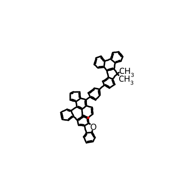 CC1(C)c2ccc(-c3ccc(-c4c5ccccc5c(-c5ccccc5-c5ccc6oc7ccccc7c6c5)c5ccccc45)cc3)cc2-c2c1c1ccccc1c1ccccc21